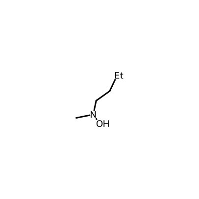 CCCCN(C)O